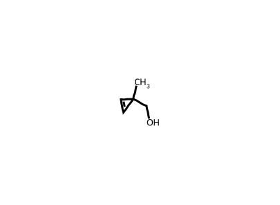 CC1(CO)C=C1